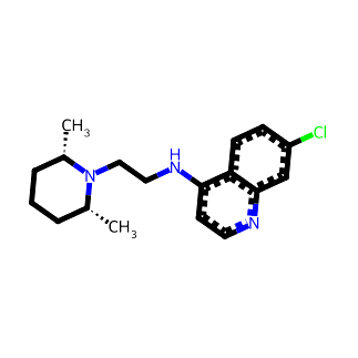 C[C@@H]1CCC[C@H](C)N1CCNc1ccnc2cc(Cl)ccc12